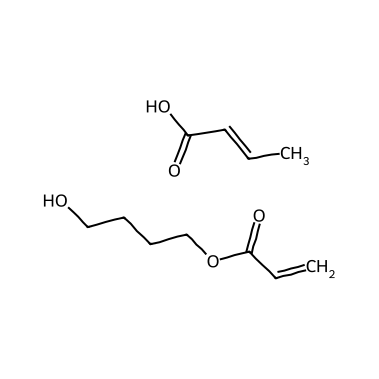 C/C=C/C(=O)O.C=CC(=O)OCCCCO